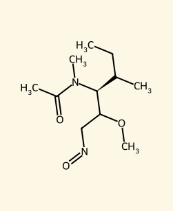 CCC(C)[C@@H](C(CN=O)OC)N(C)C(C)=O